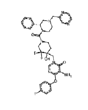 Nc1c(Oc2ccc(F)cc2)ncn(C[C@@]2(O)CCN(C(=O)[C@@H]3CCN(Cc4cnccn4)C[C@H]3c3ccccc3)CC2(F)F)c1=O